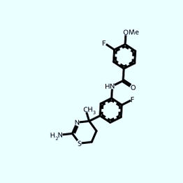 COc1ccc(C(=O)Nc2cc(C3(C)CCSC(N)=N3)ccc2F)cc1F